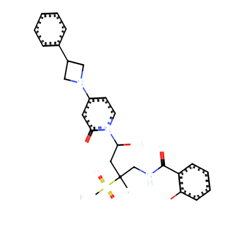 CC(CNC(=O)c1ccccc1O)(CC(O)n1ccc(N2CC(c3ccccc3)C2)cc1=O)S(C)(=O)=O